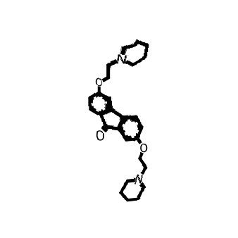 O=C1c2cc(OCCN3CCCCC3)ccc2-c2cc(OCCN3CCCCC3)ccc21